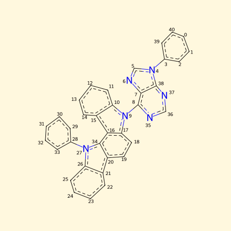 c1ccc(-n2cnc3c(-n4c5ccccc5c5c4ccc4c6ccccc6n(-c6ccccc6)c45)ncnc32)cc1